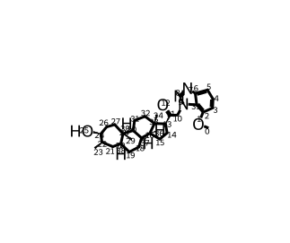 COc1cccc2nnn(CC(=O)[C@H]3CC[C@H]4[C@@H]5CC[C@H]6C[C@@H](C)[C@@H](O)CC[C@]6(C)[C@H]5CC[C@]34C)c12